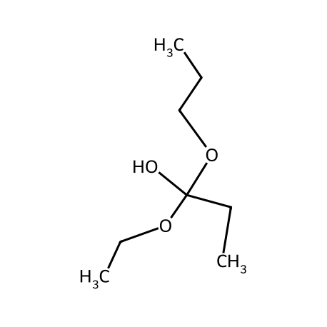 CCCOC(O)(CC)OCC